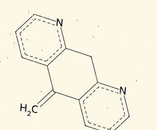 C=C1c2cccnc2Cc2ncccc21